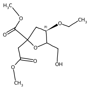 CCO[C@@H]1CC(CC(=O)OC)(C(=O)OC)OC1CO